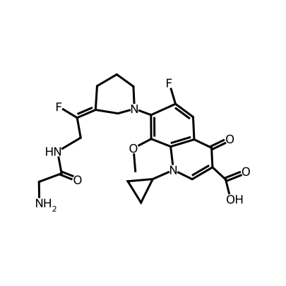 COc1c(N2CCC/C(=C(\F)CNC(=O)CN)C2)c(F)cc2c(=O)c(C(=O)O)cn(C3CC3)c12